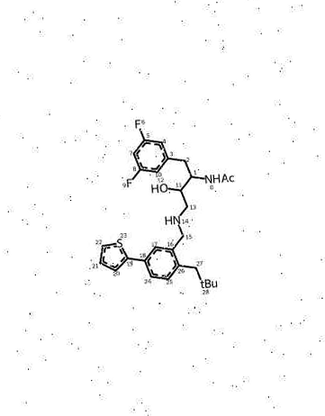 CC(=O)NC(Cc1cc(F)cc(F)c1)C(O)CNCc1cc(-c2cccs2)ccc1CC(C)(C)C